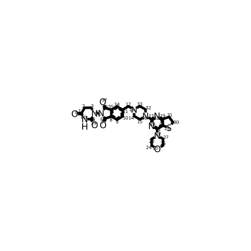 O=C1CCN(N2C(=O)c3ccc(CN4CCN(c5nc6c(c(N7CCOCC7)n5)SCC6)CC4)cc3C2=O)C(=O)N1